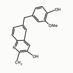 COc1cc(Cc2ccc3nc(C)c(O)cc3c2)ccc1O